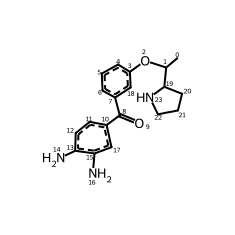 CC(Oc1cccc(C(=O)c2ccc(N)c(N)c2)c1)C1CCCN1